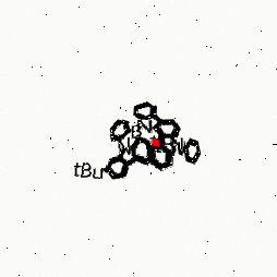 CC(C)(C)c1ccc2c3ccc(C(C)(C)C)c4c3n(c2c1)-c1ccccc1B4n1c2ccccc2c2ccc3c(c4ccccc4n3-c3ccccc3)c21